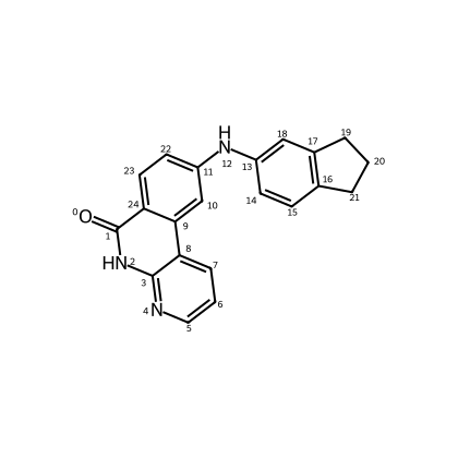 O=c1[nH]c2ncccc2c2cc(Nc3ccc4c(c3)CCC4)ccc12